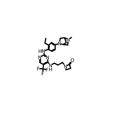 CCc1cc(N2CC3CC2CN3C)ccc1Nc1ncc(C(F)(F)F)c(NCCCN2CCC2=O)n1